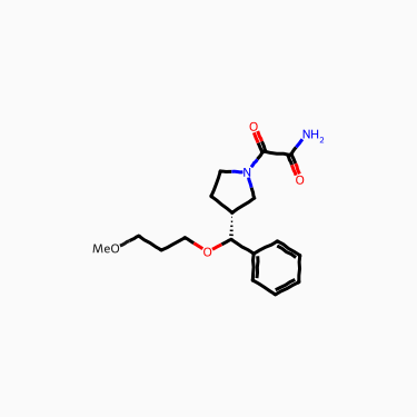 COCCCOC(c1ccccc1)[C@@H]1CCN(C(=O)C(N)=O)C1